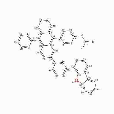 CC(C)Cc1ccc(-c2c3ccccc3c(-c3ccccc3)c3ccc(-c4cccc(-c5cccc6c5oc5ccccc56)c4)cc23)cc1